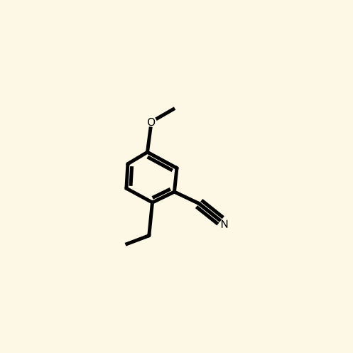 CCc1ccc(OC)cc1C#N